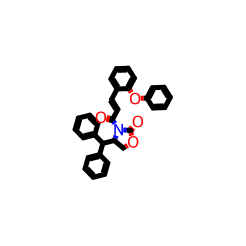 O=C(/C=C/c1ccccc1Oc1ccccc1)N1C(=O)OCC1C(c1ccccc1)c1ccccc1